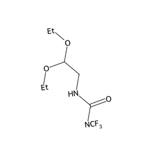 CCOC(CNC(=O)NC(F)(F)F)OCC